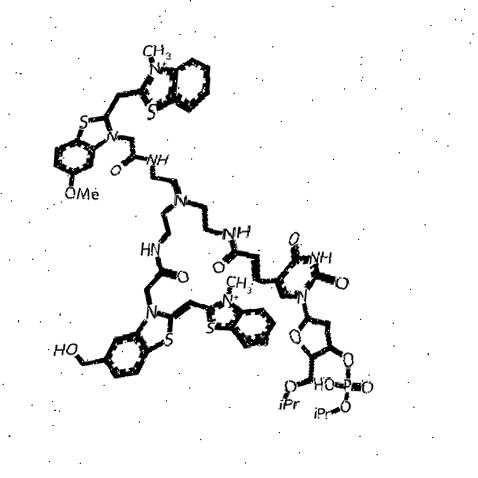 COc1ccc2c(c1)N(CC(=O)NCCN(CCNC(=O)/C=C/c1cn(C3CC(OP(=O)(O)OC(C)C)C(COC(C)C)O3)c(=O)[nH]c1=O)CCNC(=O)CN1/C(=C/c3sc4ccccc4[n+]3C)Sc3ccc(CO)cc31)C(Cc1sc3ccccc3[n+]1C)S2